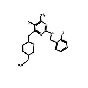 NCC1CCC(Cc2nc(NCc3ccccc3Cl)nc(N)c2Br)CC1